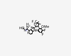 COc1c([C@H]2[C@H](c3nc4c(/C(N)=N/O)nccc4[nH]3)O[C@@](C)(C(F)(F)F)[C@H]2C)ccc(F)c1F